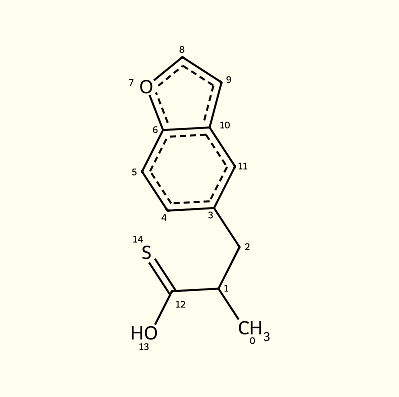 CC(Cc1ccc2occc2c1)C(O)=S